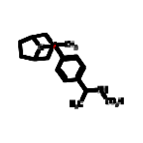 CC(NC(=O)O)c1ccc(CN2C3CCC2CN(C)C3)cc1